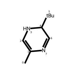 CC1=CNC(C(C)(C)C)C=N1